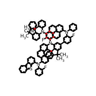 CC1(C)c2ccccc2-c2c(N(c3ccccc3C#N)c3ccc4ccc5c(N(c6ccccc6)c6cc(-c7cc(N(c8ccccc8F)c8ccc9ccc%10c(N(c%11ccccc%11F)c%11cccc%12c%11sc%11ccccc%11%12)ccc%11ccc8c9c%11%10)c8c(c7)C(C)(C)c7ccccc7-8)ccc6F)ccc6ccc3c4c65)cccc21